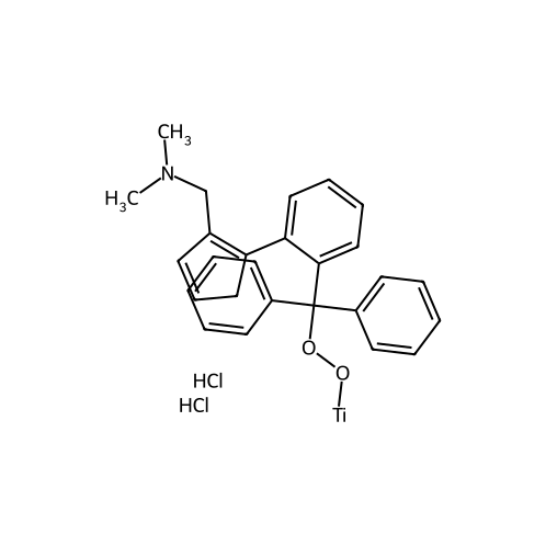 CN(C)CC1=C(c2ccccc2C(O[O][Ti])(c2ccccc2)c2ccccc2)CC=C1.Cl.Cl